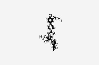 COc1cc(N2CCN(C(=O)Cn3nc(-n4ccc(C(F)(F)F)n4)c(Cl)c3C)CC2)ccc1Cl